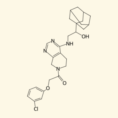 O=C(COc1cccc(Cl)c1)N1CCc2c(ncnc2NCC(O)C23CC4CC(CC(C4)C2)C3)C1